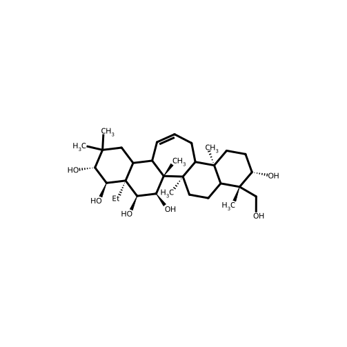 CC[C@@]12C(CC(C)(C)[C@@H](O)[C@@H]1O)C1C=CCC3[C@@]4(C)CC[C@H](O)[C@](C)(CO)C4CC[C@@]3(C)[C@]1(C)[C@@H](O)[C@H]2O